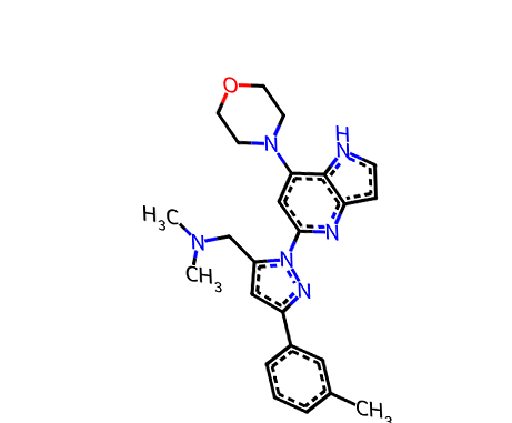 Cc1cccc(-c2cc(CN(C)C)n(-c3cc(N4CCOCC4)c4[nH]ccc4n3)n2)c1